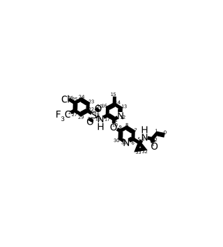 C=CC(=O)NC1(c2ccc(Oc3ncc(C)cc3NS(=O)(=O)c3ccc(Cl)c(C(F)(F)F)c3)cn2)CC1